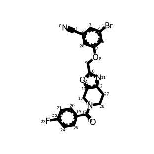 N#Cc1cc(Br)cc(OCc2nc3c(o2)CN(C(=O)c2ccc(F)cc2)CC3)c1